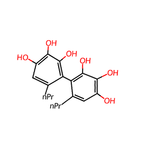 CCCc1cc(O)c(O)c(O)c1-c1c(CCC)cc(O)c(O)c1O